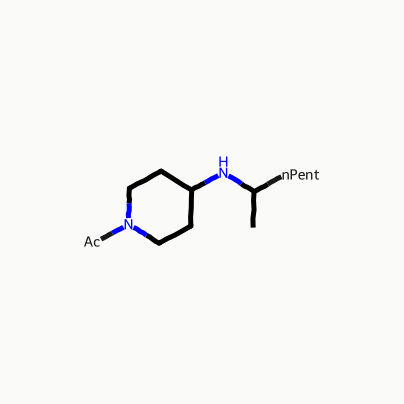 CCCCCC(C)NC1CCN(C(C)=O)CC1